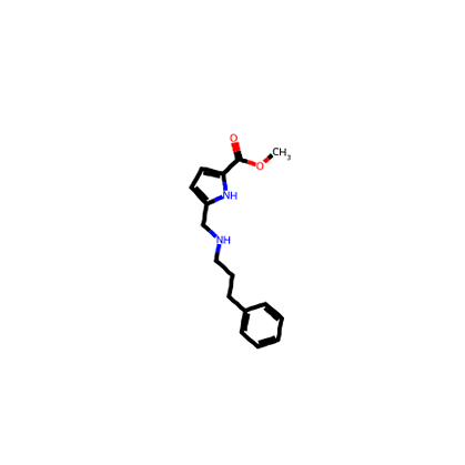 COC(=O)c1ccc(CNCCCc2ccccc2)[nH]1